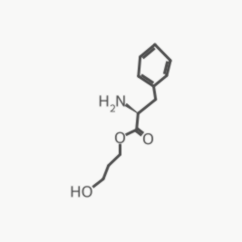 N[C@@H](Cc1ccccc1)C(=O)OCCCO